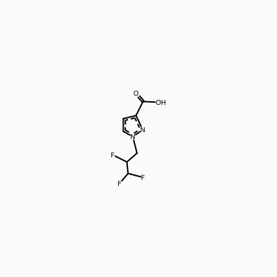 O=C(O)c1ccn(CC(F)C(F)F)n1